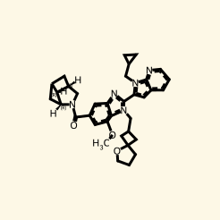 COc1cc(C(=O)N2C[C@H]3CC4C[C@@H]2[C@H]43)cc2nc(-c3cc4cccnc4n3CC3CC3)n(CC3CC4(CCCO4)C3)c12